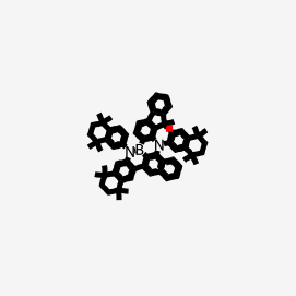 Cc1cc2c(cc1N1c3c(ccc4c3C(C)(C)c3ccccc3-4)B3c4c(cc5ccccc5c41)-c1cc4c(cc1N3c1ccc3c(c1)C(C)(C)CCC3(C)C)C(C)(C)CCC4(C)C)C(C)(C)CCC2(C)C